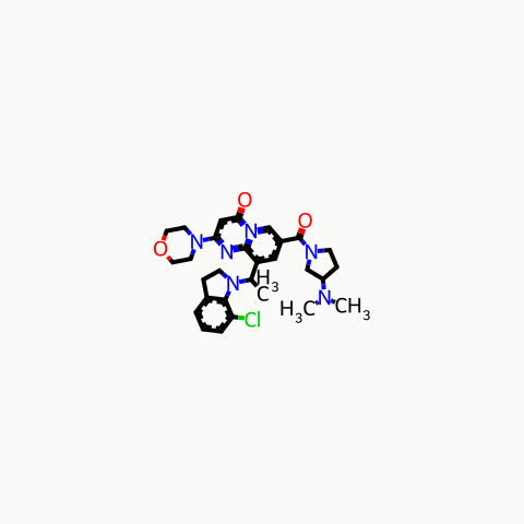 CC(c1cc(C(=O)N2CCC(N(C)C)C2)cn2c(=O)cc(N3CCOCC3)nc12)N1CCc2cccc(Cl)c21